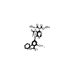 Cc1cc(Nc2ncnc(N(C(=O)OC(C)(C)C)C(=O)OC(C)(C)C)c2OC(F)F)cc2c1C(=O)NC21CCCCC1